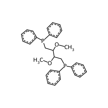 COC(CP(c1ccccc1)c1ccccc1)C(CP(c1ccccc1)c1ccccc1)OC